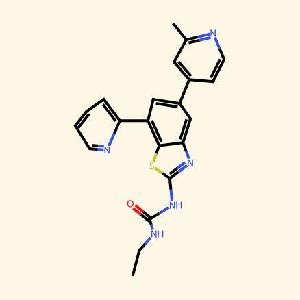 CCNC(=O)Nc1nc2cc(-c3ccnc(C)c3)cc(-c3ccccn3)c2s1